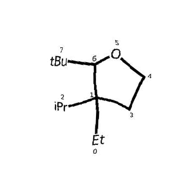 CCC1(C(C)C)CCOC1C(C)(C)C